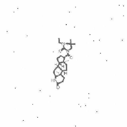 CCNC(=S)N(CC(C)(C)C)C(=O)C1CC[C@H]2[C@@H]3CCC4NC(=O)CC[C@]4(C)[C@@H]3CC[C@]12C